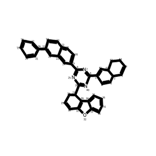 C1=CC2C=CC(c3nc(-c4ccc5ccc(-c6ccccc6)cc5c4)nc(C4CC=Cc5oc6ccccc6c54)n3)=CC2CC1